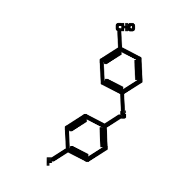 O=Cc1ccc(Sc2ccc(F)cc2)cc1